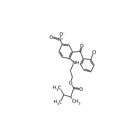 CC(C)C(C)C(=O)OCCNc1ccc([N+](=O)[O-])cc1C(=O)c1ccccc1Cl